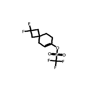 O=S(=O)(OC1=CCC2(CC1)CC(F)(F)C2)C(F)(F)F